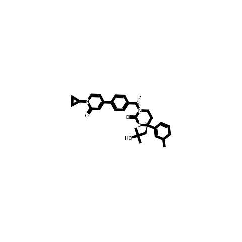 CC1C=C([C@@]2(CC(C)(C)O)CCN([C@@H](C)c3ccc(-c4ccn(C5CC5)c(=O)c4)cc3)C(=O)O2)C=CC1